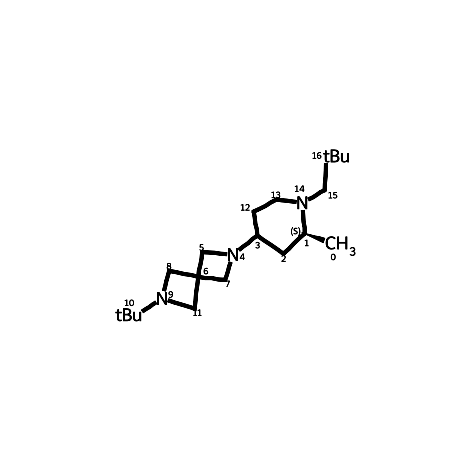 C[C@H]1CC(N2CC3(C2)CN(C(C)(C)C)C3)CCN1CC(C)(C)C